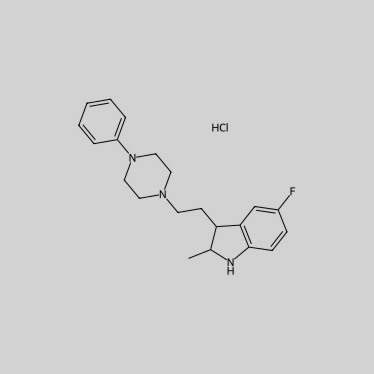 CC1Nc2ccc(F)cc2C1CCN1CCN(c2ccccc2)CC1.Cl